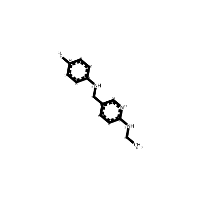 CCNc1ccc(CNc2ccc(F)cc2)cn1